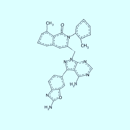 Cc1ccccc1-n1c(Cn2nc(-c3ccc4nc(N)oc4c3)c3c(N)ncnc32)cc2cccc(C)c2c1=O